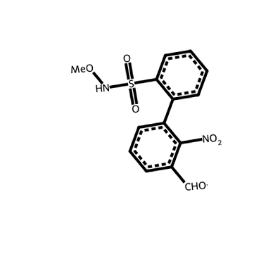 CONS(=O)(=O)c1ccccc1-c1cccc([C]=O)c1[N+](=O)[O-]